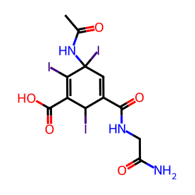 CC(=O)NC1(I)C=C(C(=O)NCC(N)=O)C(I)C(C(=O)O)=C1I